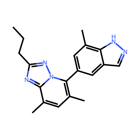 CCCc1nc2c(C)cc(C)c(-c3cc(C)c4[nH]ncc4c3)n2n1